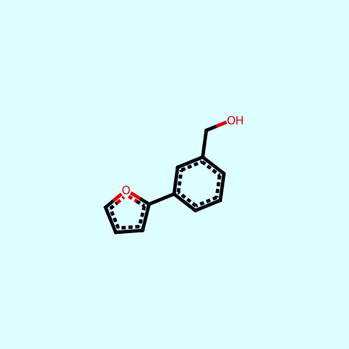 OCc1cccc(-c2ccco2)c1